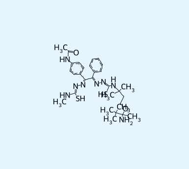 CN/C(S)=N/N=C(/C(=N/N=C(\S)NC(C)(C)CCOC(C)(N)C(C)(C)C)c1ccccc1)c1ccc(NC(C)=O)cc1